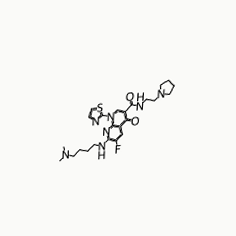 CN(C)CCCCNc1nc2c(cc1F)c(=O)c(C(=O)NCCN1CCCC1)cn2-c1nccs1